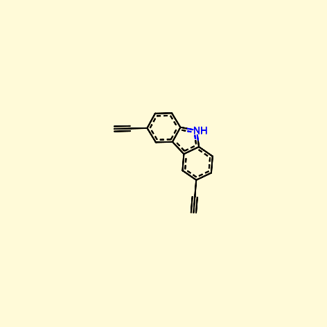 C#Cc1ccc2[nH]c3ccc(C#C)cc3c2c1